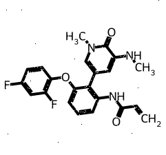 C=CC(=O)Nc1cccc(Oc2ccc(F)cc2F)c1-c1cc(NC)c(=O)n(C)c1